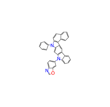 c1ccc(-n2c3cc4c(cc3c3c5ccccc5ccc32)c2ccccc2n4-c2ccc3ncoc3c2)cc1